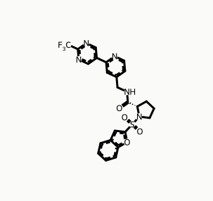 O=C(NCc1ccnc(-c2cnc(C(F)(F)F)nc2)c1)[C@@H]1CCCN1S(=O)(=O)c1cc2ccccc2o1